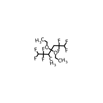 CCOC(CC(F)(F)C(F)F)(OCC)C(C)C(F)(F)C(F)F